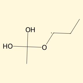 CC[CH]OC(C)(O)O